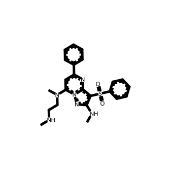 CNCCN(C)c1cc(-c2ccccc2)nc2c(S(=O)(=O)c3ccccc3)c(NC)nn12